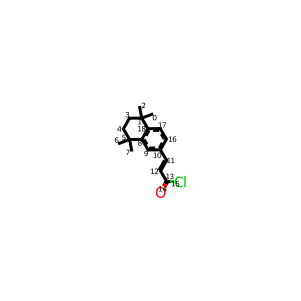 CC1(C)CCC(C)(C)c2cc(C=CC(=O)Cl)ccc21